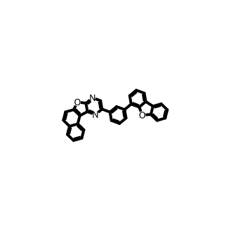 c1cc(-c2cnc3oc4ccc5ccccc5c4c3n2)cc(-c2cccc3c2oc2ccccc23)c1